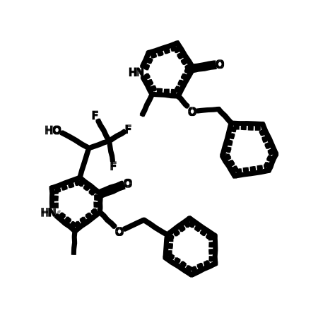 Cc1[nH]cc(C(O)C(F)(F)F)c(=O)c1OCc1ccccc1.Cc1[nH]ccc(=O)c1OCc1ccccc1